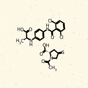 CC(=O)N1CC(=S)C[C@H]1C(=O)O.C[C@H](Nc1ccc(NC(=O)c2c(Cl)cccc2Cl)cc1)C(=O)O